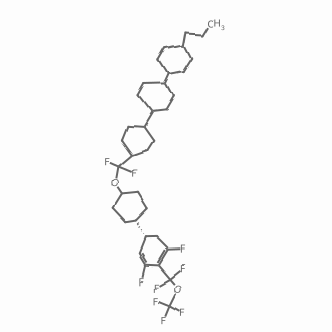 CCCC1CCC(C2CCC(C3CCC(C(F)(F)OC4CCC([C@H]5C=C(F)C(C(F)(F)OC(F)(F)F)=C(F)C5)CC4)CC3)CC2)CC1